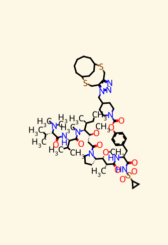 CC[C@H](C)[C@@H]([C@@H](CC(=O)N1CCC[C@H]1[C@H](OC)[C@@H](C)C(=O)N[C@@H](Cc1ccc(OC(=O)N2CCC(Cn3nnc4c3CSC3CCCCCC(CC3)SC4)CC2)cc1)C(=O)NS(=O)(=O)C1CC1)OC)N(C)C(=O)[C@@H](NC(=O)[C@H](C(C)C)N(C)C)C(C)C